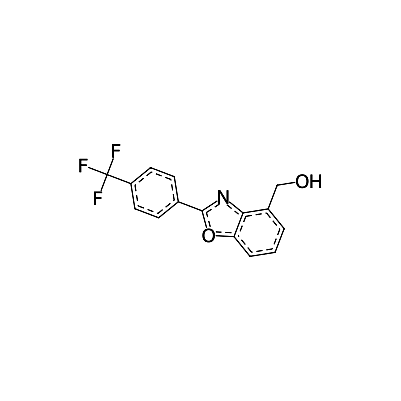 OCc1cccc2oc(-c3ccc(C(F)(F)F)cc3)nc12